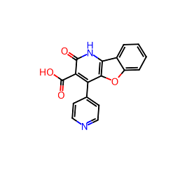 O=C(O)c1c(-c2ccncc2)c2oc3ccccc3c2[nH]c1=O